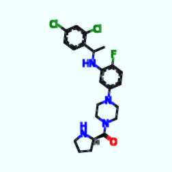 CC(Nc1cc(N2CCN(C(=O)[C@H]3CCCN3)CC2)ccc1F)c1ccc(Cl)cc1Cl